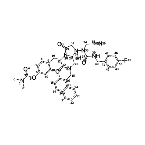 CN(C)C(=O)Oc1ccc(C[C@H]2C(=O)N(Cc3cccc4ccccc34)C[C@H]3N2C(=O)CN3N(CC#N)C(=O)NCc2ccc(F)cc2)cc1